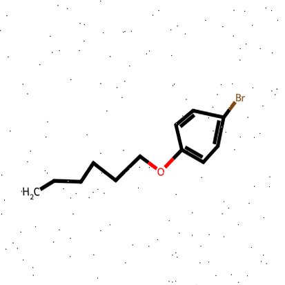 [CH2]CCCCCOc1ccc(Br)cc1